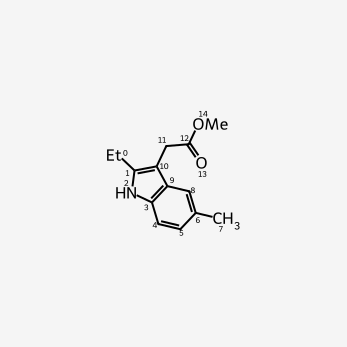 CCc1[nH]c2ccc(C)cc2c1CC(=O)OC